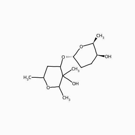 CC1CC(O[C@H]2CC[C@H](O)[C@H](C)O2)C(C)(O)C(C)O1